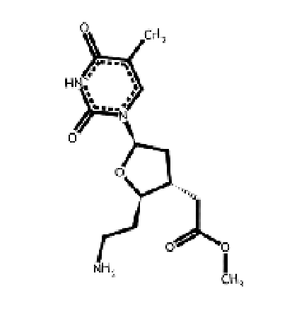 COC(=O)C[C@H]1C[C@H](n2cc(C)c(=O)[nH]c2=O)O[C@@H]1CCN